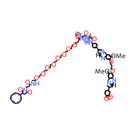 COc1cc2c(cc1OCCCOc1cc3c(cc1OC)CN1C=C(c4ccc5c(c4)OCO5)C[C@H]1C=N3)N=C[C@@H]1CC(c3ccc(NC(=O)[C@H](C)NC(=O)C(NC(=O)CCOCCOCCOCCOCCOCCOCCOCCOCCNC(=O)CCN4C(=O)CC(C5=C/C=C\C=C/C=C\C=C/C=C\5)C4=O)C(C)C)cc3)=CN1C2